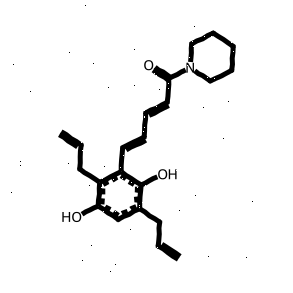 C=CCc1cc(O)c(CC=C)c(C=CC=CC(=O)N2CCCCC2)c1O